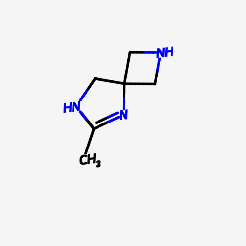 CC1=NC2(CNC2)CN1